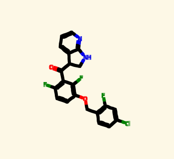 O=C(c1c(F)ccc(OCc2ccc(Cl)cc2F)c1F)C1CNc2ncccc21